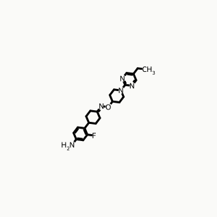 CCc1cnc(N2CCC(ON=C3CCC(c4ccc(N)cc4F)CC3)CC2)nc1